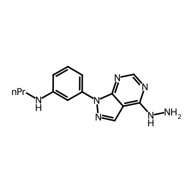 CCCNc1cccc(-n2ncc3c(NN)ncnc32)c1